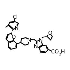 Cc1cc(Cl)cnc1[C@H]1C=Cc2cccc(C3CCN(Cc4nc5ccc(C(=O)O)cc5n4C[C@@H]4CCO4)CC3)c2O1